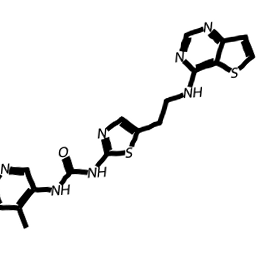 Cc1ccncc1NC(=O)Nc1ncc(CCNc2ncnc3ccsc23)s1